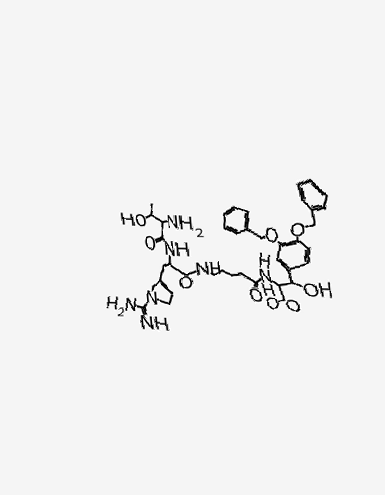 CC(O)C(N)C(=O)NC(CC1=CCN(C(=N)N)C1)C(=O)NCCCCC(=O)NC(C(=O)O)C(O)c1ccc(OCc2ccccc2)c(OCc2ccccc2)c1